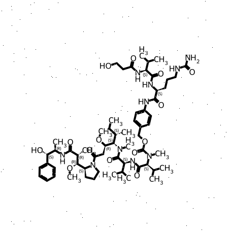 CC[C@H](C)[C@@H]([C@@H](CC(=O)N1CCC[C@H]1[C@H](OC)[C@@H](C)C(=O)N[C@H](C)[C@@H](O)c1ccccc1)OC)N(C)C(=O)[C@@H](NC(=O)[C@H](C(C)C)N(C)C(=O)OCc1ccc(NC(=O)[C@H](CCCNC(N)=O)NC(=O)[C@@H](NC(=O)CCO)C(C)C)cc1)C(C)C